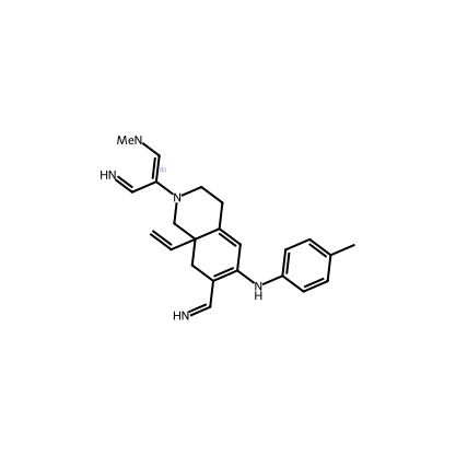 C=CC12CC(C=N)=C(Nc3ccc(C)cc3)C=C1CCN(/C(C=N)=C/NC)C2